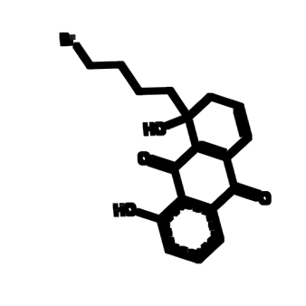 O=C1C2=C(C(=O)c3c(O)cccc31)C(O)(CCCCBr)CC=C2